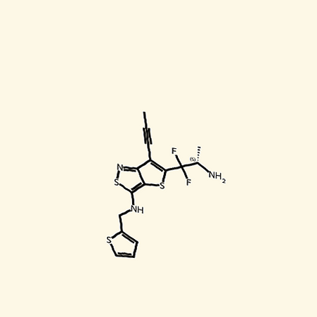 CC#Cc1c(C(F)(F)[C@H](C)N)sc2c(NCc3cccs3)snc12